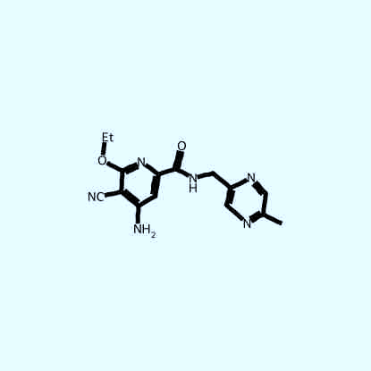 CCOc1nc(C(=O)NCc2cnc(C)cn2)cc(N)c1C#N